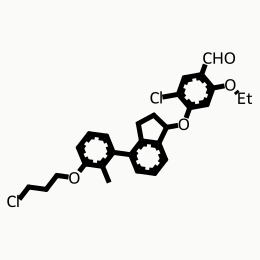 CCOc1cc(OC2CCc3c(-c4cccc(OCCCCl)c4C)cccc32)c(Cl)cc1C=O